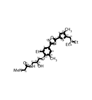 CCc1cc(-c2noc(-c3cc(C)c(CN(CC)CC)s3)n2)cc(C)c1OC[C@@H](O)CNC(=O)CNC